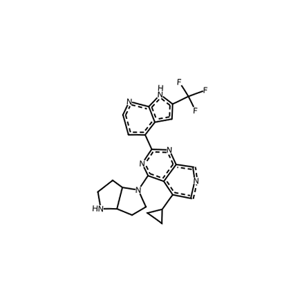 FC(F)(F)c1cc2c(-c3nc(N4CCC5NCCC54)c4c(C5CC5)cncc4n3)ccnc2[nH]1